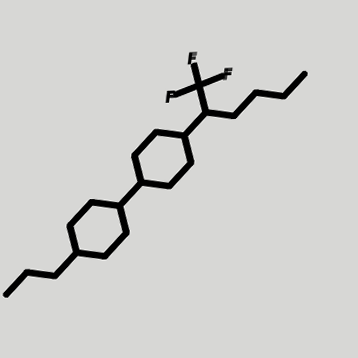 CCCCC(C1CCC(C2CCC(CCC)CC2)CC1)C(F)(F)F